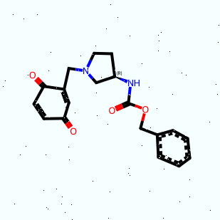 O=C1C=CC(=O)C(CN2CC[C@@H](NC(=O)OCc3ccccc3)C2)=C1